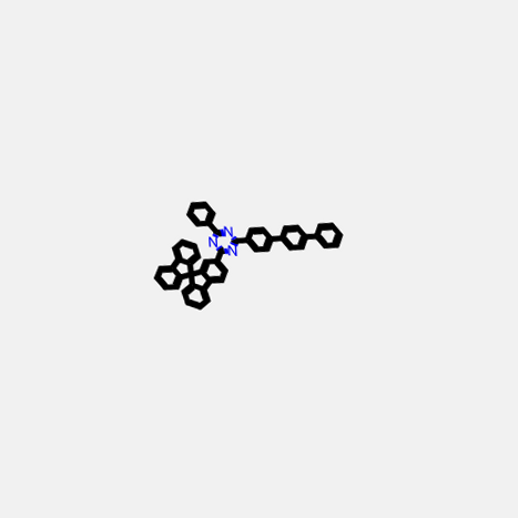 c1ccc(-c2ccc(-c3ccc(-c4nc(-c5ccccc5)nc(-c5ccc6c(c5)C5(c7ccccc7-c7ccccc75)c5ccccc5-6)n4)cc3)cc2)cc1